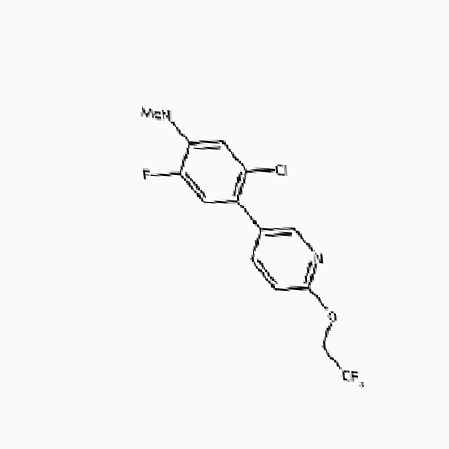 CNc1cc(Cl)c(-c2ccc(OCC(F)(F)F)nc2)cc1F